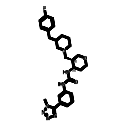 Cn1nnnc1-c1cccc(NC(=O)N[C@@H]2CCOC[C@@H]2CN2CCCC(Cc3ccc(F)cc3)C2)c1